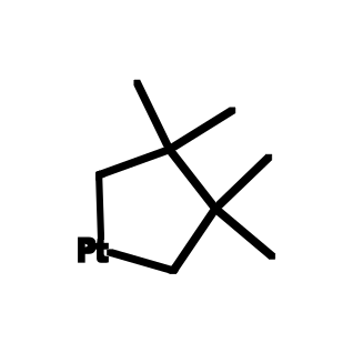 CC1(C)[CH2][Pt][CH2]C1(C)C